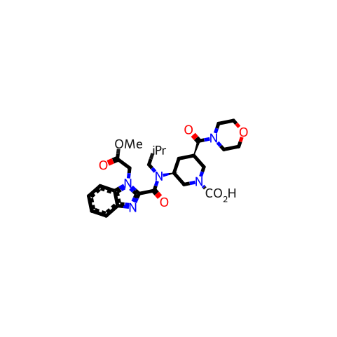 COC(=O)Cn1c(C(=O)N(CC(C)C)[C@H]2C[C@@H](C(=O)N3CCOCC3)CN(C(=O)O)C2)nc2ccccc21